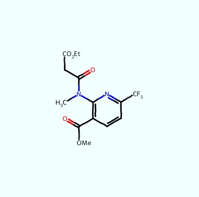 CCOC(=O)CC(=O)N(C)c1nc(C(F)(F)F)ccc1C(=O)OC